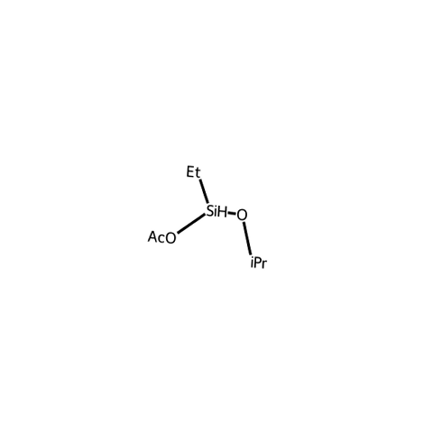 CC[SiH](OC(C)=O)OC(C)C